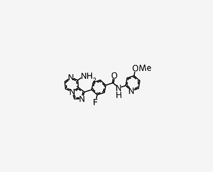 COc1ccnc(NC(=O)c2ccc(-c3ncn4ccnc(N)c34)c(F)c2)c1